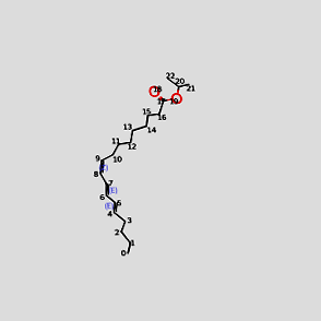 CCCC/C=C/C=C/C=C\CCCCCCCC(=O)OC(C)C